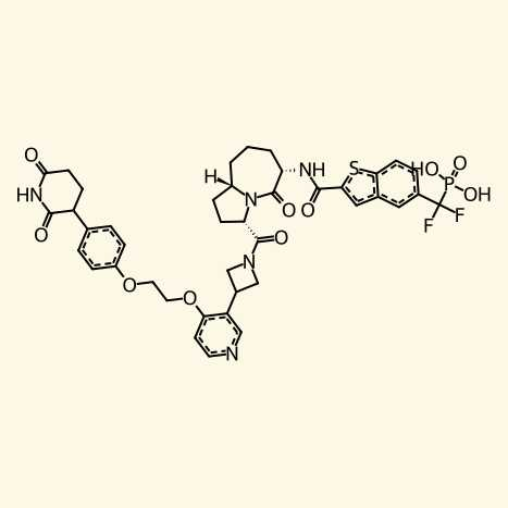 O=C1CCC(c2ccc(OCCOc3ccncc3C3CN(C(=O)[C@@H]4CC[C@@H]5CCC[C@H](NC(=O)c6cc7cc(C(F)(F)P(=O)(O)O)ccc7s6)C(=O)N54)C3)cc2)C(=O)N1